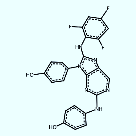 Oc1ccc(Nc2ncc3nc(Nc4c(F)cc(F)cc4F)n(-c4ccc(O)cc4)c3n2)cc1